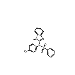 Cn1c(N(c2ccc(Cl)cc2)S(=O)(=O)c2ccccc2)nc2ccccc21